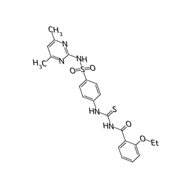 CCOc1ccccc1C(=O)NC(=S)Nc1ccc(S(=O)(=O)Nc2nc(C)cc(C)n2)cc1